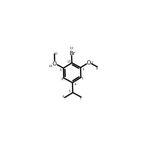 COc1cc(C(C)C)cc(OC)c1Br